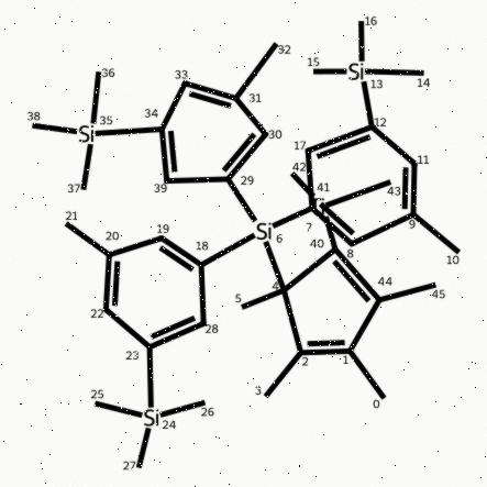 CC1=C(C)C(C)([Si](c2cc(C)cc([Si](C)(C)C)c2)(c2cc(C)cc([Si](C)(C)C)c2)c2cc(C)cc([Si](C)(C)C)c2)[C]([Ti]([CH3])[CH3])=C1C